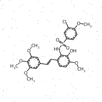 COc1ccc(S(=O)(=O)Nc2c(C=Cc3cc(OC)c(OC)c(OC)c3)ccc(OC)c2O)cc1Cl